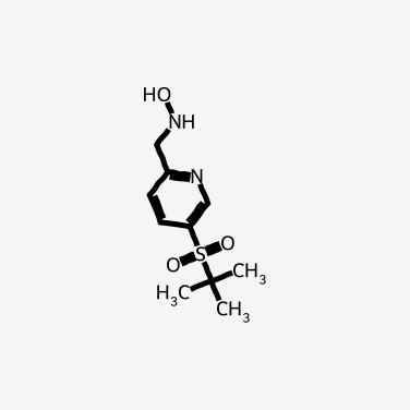 CC(C)(C)S(=O)(=O)c1ccc(CNO)nc1